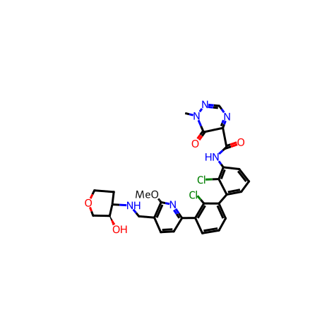 COc1nc(-c2cccc(-c3cccc(NC(=O)c4ncnn(C)c4=O)c3Cl)c2Cl)ccc1CNC1CCOC[C@@H]1O